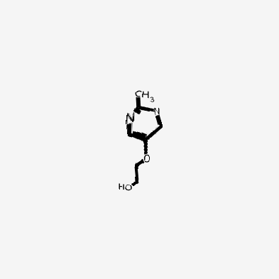 Cc1ncc(OCCO)cn1